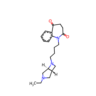 CCN1C[C@H]2CN(CCCCN3C(=O)CCC(=O)c4ccccc43)[C@@H]2C1